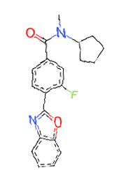 CN(C(=O)c1ccc(-c2nc3ccccc3o2)c(F)c1)C1CCCC1